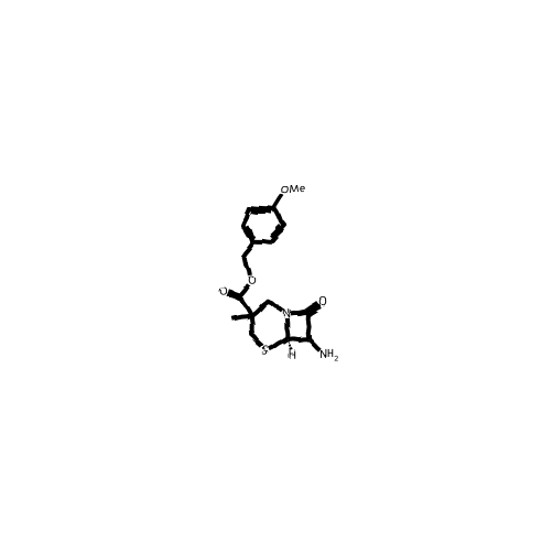 COc1ccc(COC(=O)C2(C)CS[C@@H]3C(N)C(=O)N3C2)cc1